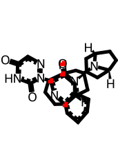 O=c1cnn(-c2nc3ccccc3n([C@@H]3C[C@H]4CC[C@@H](C3)N4C3C[C@H]4CCCC[C@@H](C3)C4)c2=O)c(=O)[nH]1